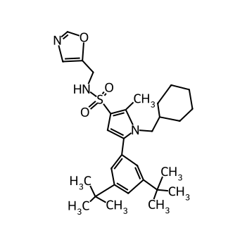 Cc1c(S(=O)(=O)NCc2cnco2)cc(-c2cc(C(C)(C)C)cc(C(C)(C)C)c2)n1CC1CCCCC1